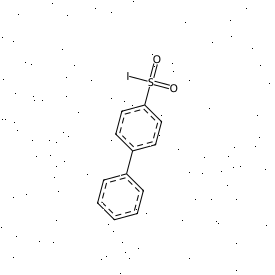 O=S(=O)(I)c1ccc(-c2ccccc2)cc1